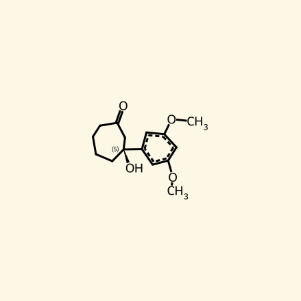 COc1cc(OC)cc([C@]2(O)CCCCC(=O)C2)c1